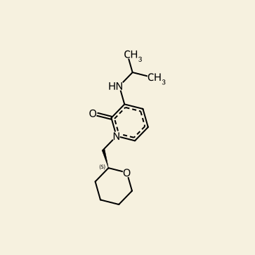 CC(C)Nc1cccn(C[C@@H]2CCCCO2)c1=O